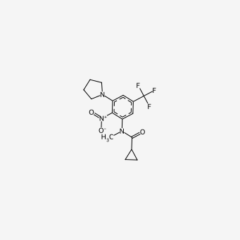 CN(C(=O)C1CC1)c1cc(C(F)(F)F)cc(N2CCCC2)c1[N+](=O)[O-]